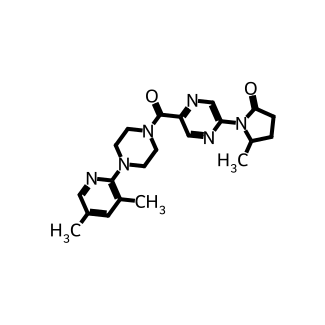 Cc1cnc(N2CCN(C(=O)c3cnc(N4C(=O)CCC4C)cn3)CC2)c(C)c1